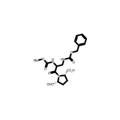 CC(C)(C)OC(=O)NC(CNC(=O)OCc1ccccc1)C(=O)N1[C@@H](C=O)CC[C@H]1C(=O)O